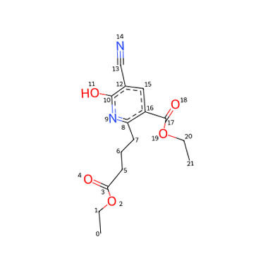 CCOC(=O)CCCc1nc(O)c(C#N)cc1C(=O)OCC